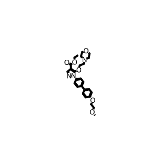 CCOC(=O)c1cnn(-c2ccc(-c3ccc(OCCOC)cc3)cc2)c1OCCN1CCOCC1